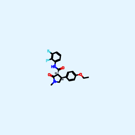 CCOc1ccc([C@H]2CN(C)C(=O)[C@@H]2C(=O)Nc2cccc(F)c2F)cc1